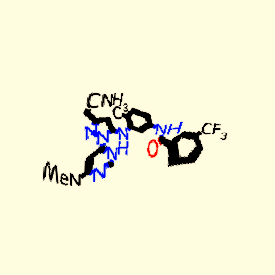 CNc1cc(-n2nc(CC#N)cc2Nc2cc(NC(=O)c3cccc(C(F)(F)F)c3)ccc2C)ncn1